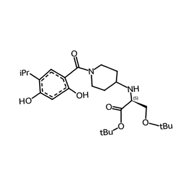 CC(C)c1cc(C(=O)N2CCC(N[C@@H](COC(C)(C)C)C(=O)OC(C)(C)C)CC2)c(O)cc1O